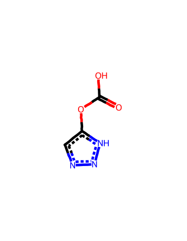 O=C(O)Oc1cnn[nH]1